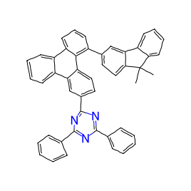 CC1(C)c2ccccc2-c2cc(-c3cccc4c5ccccc5c5cc(-c6nc(-c7ccccc7)nc(-c7ccccc7)n6)ccc5c34)ccc21